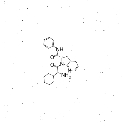 NC(C(=O)N1c2ncccc2C[C@H]1C(=O)Nc1ccccc1)C1CCCCC1